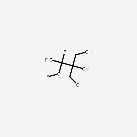 OCC(O)(CO)C(F)(OF)C(F)(F)F